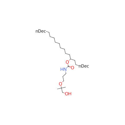 CCCCCCCCCCCCCCCCCCCC(CCCCCCCCCCCC)OC(=O)NCCCOC(C)(C)CO